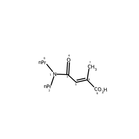 CCCN(CCC)C(=O)C=C(C)C(=O)O